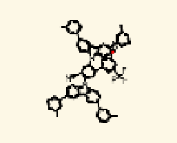 Cc1cccc(-c2ccc3c(c2)c2cc(-c4cccc(C)c4)ccc2n3-c2cc(-c3cc(C#N)cc(C(F)(F)F)c3)c(-n3c4ccc(-c5cccc(C)c5)cc4c4cc(-c5cccc(C)c5)ccc43)cc2C#N)c1